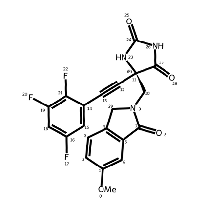 COc1ccc2c(c1)C(=O)N(C[C@@]1(C#Cc3cc(F)cc(F)c3F)NC(=O)NC1=O)C2